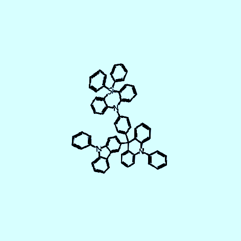 c1ccc(N2c3ccccc3C(c3ccc(N4c5ccccc5[Si](c5ccccc5)(c5ccccc5)c5ccccc54)cc3)(c3ccc4c(c3)c3ccccc3n4-c3ccccc3)c3ccccc32)cc1